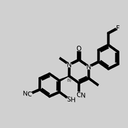 CC1=C(C#N)[C@@H](c2ccc(C#N)cc2S)N(C)C(=O)N1c1cccc(CF)c1